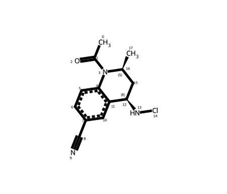 CC(=O)N1c2ccc(C#N)cc2[C@H](NCl)C[C@@H]1C